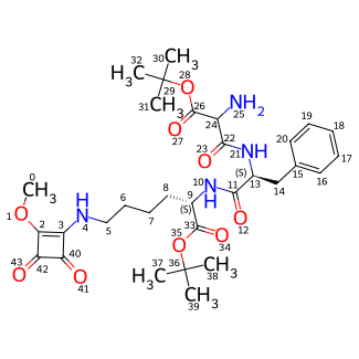 COc1c(NCCCC[C@H](NC(=O)[C@H](Cc2ccccc2)NC(=O)C(N)C(=O)OC(C)(C)C)C(=O)OC(C)(C)C)c(=O)c1=O